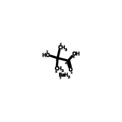 CC(C)(O)C(=O)O.[BaH2]